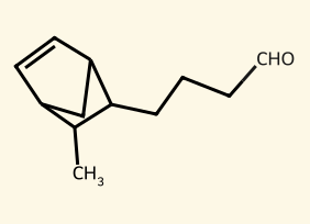 CC1C2C=CC(C2)C1CCCC=O